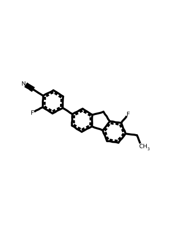 CCc1ccc2c(c1F)Cc1cc(-c3ccc(C#N)c(F)c3)ccc1-2